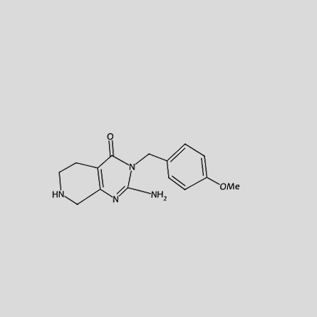 COc1ccc(Cn2c(N)nc3c(c2=O)CCNC3)cc1